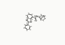 O=C(NC1CN2CCC1CC2)c1cccc2nc(-c3ccccc3)oc12